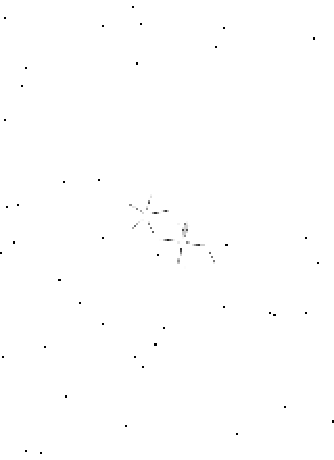 CCOP(=O)(C#N)OP(C)(C)(C)C